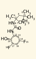 CC(C)(C)CC(C)(C)NC(=O)Nc1cc(F)cc(F)c1O